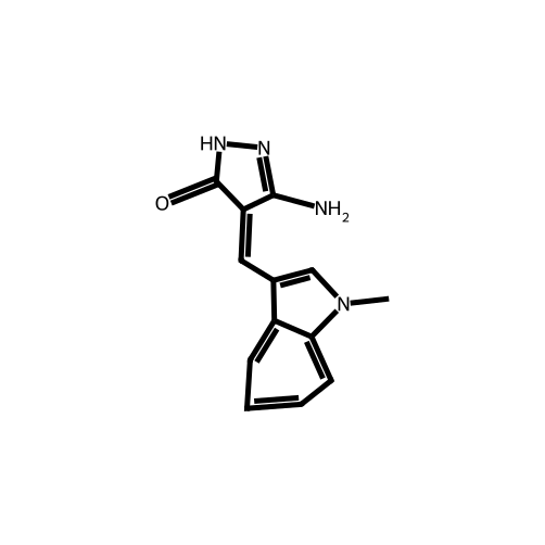 Cn1cc(C=C2C(=O)NN=C2N)c2ccccc21